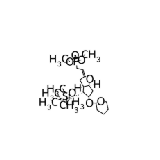 COP(=O)(C/C=C1\C[C@@H]2[C@@H](CO[Si](C)(C)C(C)(C)C)[C@H](OC3CCCCO3)C[C@@H]2O1)OC